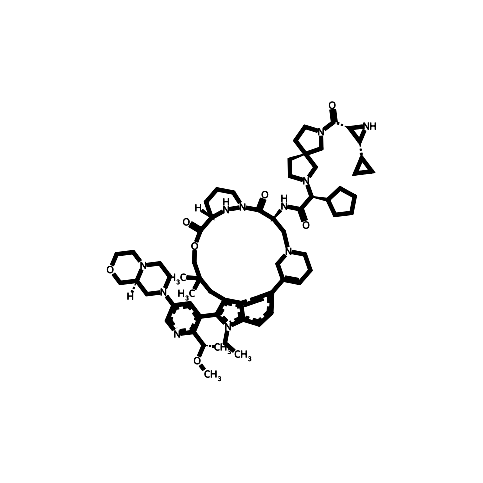 CCn1c(-c2cc(N3CCN4CCOC[C@@H]4C3)cnc2[C@H](C)OC)c2c3cc(ccc31)C1=CCCN(C1)C[C@H](NC(=O)[C@H](C1CCCC1)N1CC[C@]3(CCN(C(=O)[C@@H]4N[C@@H]4C4CC4)C3)C1)C(=O)N1CCC[C@H](N1)C(=O)OCC(C)(C)C2